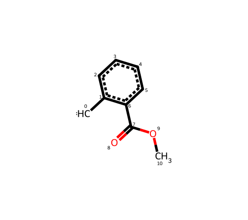 [CH]c1ccccc1C(=O)OC